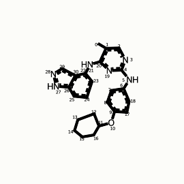 Cc1cnc(Nc2ccc(OC3CCCCC3)cc2)nc1Nc1cccc2[nH]ncc12